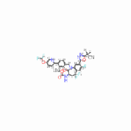 CC(C)(C)OC(=O)NC1CC(F)(F)c2cc(F)c(-c3nnc(C(C)(C)C#N)o3)cc2N(Cc2ccc(-c3ccc(OC(F)F)cn3)cc2)C1=O